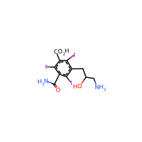 NCC(O)Cc1c(I)c(C(N)=O)c(I)c(C(=O)O)c1I